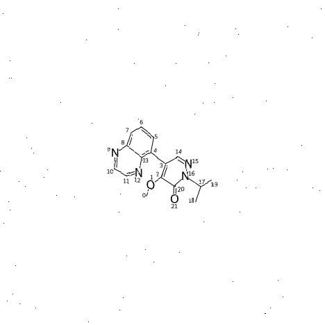 COc1c(-c2cccc3nccnc23)cnn(C(C)C)c1=O